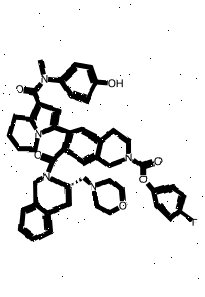 CN(C(=O)c1cc(-c2cc3c(cc2C(=O)N2Cc4ccccc4C[C@H]2CN2CCOCC2)CN(C(=O)Oc2ccc(F)cc2)CC3)n2c1CCCC2)c1ccc(O)cc1